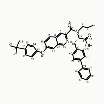 CCCN(C(=O)c1cc2ccc(Oc3ccc(C(C)(C)C)cc3)cc2cn1)[C@@H](Cc1ccc(-c2ccccc2)cc1)C(=O)O